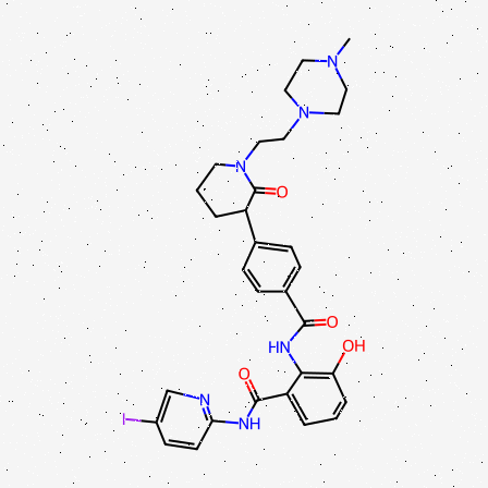 CN1CCN(CCN2CCCC(c3ccc(C(=O)Nc4c(O)cccc4C(=O)Nc4ccc(I)cn4)cc3)C2=O)CC1